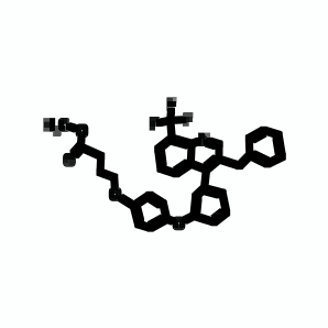 COC(=O)CCCOc1ccc(Oc2cccc(-c3c(Cc4ccccc4)cnc4c(C(F)(F)F)cccc34)c2)cc1